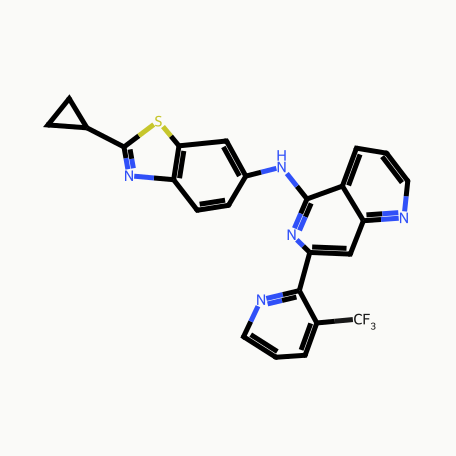 FC(F)(F)c1cccnc1-c1cc2ncccc2c(Nc2ccc3nc(C4CC4)sc3c2)n1